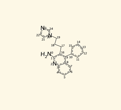 Nc1nc2ccccc2c(-c2ccccc2)c1CCCn1ccnc1